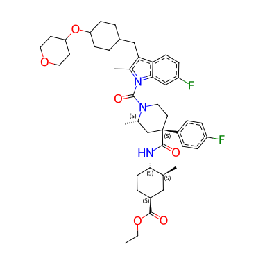 CCOC(=O)[C@H]1CC[C@H](NC(=O)[C@@]2(c3ccc(F)cc3)CCN(C(=O)n3c(C)c(CC4CCC(OC5CCOCC5)CC4)c4ccc(F)cc43)[C@@H](C)C2)[C@@H](C)C1